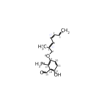 C=C/C=C\C=C(/C)COc1ccc(O)c(C=O)c1P